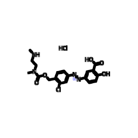 CNCCN(C)C(=O)OCc1ccc(/N=N/c2ccc(O)c(C(=O)O)c2)cc1Cl.Cl